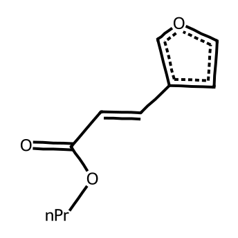 CCCOC(=O)C=Cc1ccoc1